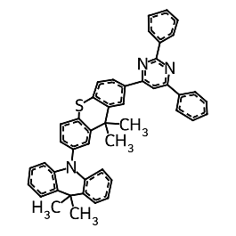 CC1(C)c2cc(-c3cc(-c4ccccc4)nc(-c4ccccc4)n3)ccc2Sc2ccc(N3c4ccccc4C(C)(C)c4ccccc43)cc21